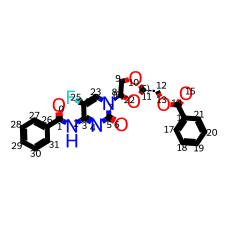 O=C(Nc1nc(=O)n([C@H]2CO[C@H](COC(=O)c3ccccc3)O2)cc1F)c1ccccc1